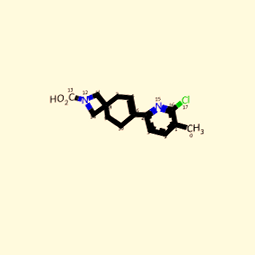 Cc1ccc(C2=CCC3(CC2)CN(C(=O)O)C3)nc1Cl